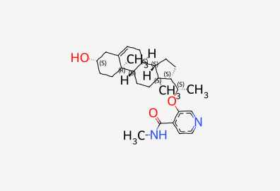 CNC(=O)c1ccncc1O[C@@H](C)[C@H]1CC[C@H]2[C@@H]3CC=C4C[C@@H](O)CC[C@]4(C)[C@H]3CC[C@]12C